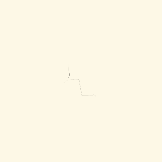 CN(C)C[CH2][Na]